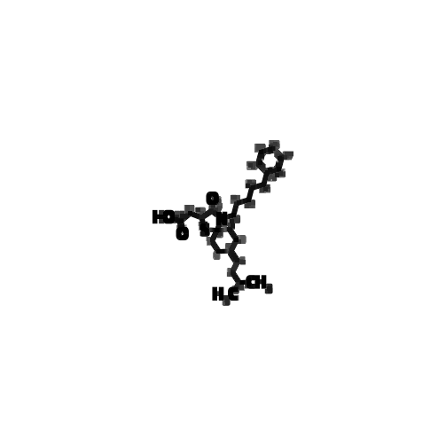 CC(C)CC=C1CCC2(CC1)SC(CC(=O)O)C(=O)N2CCCCCc1ccccc1